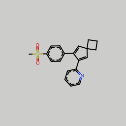 CS(=O)(=O)c1ccc(C2=CC3(C=C2c2ccccn2)CCC3)cc1